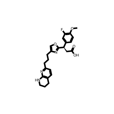 COc1ccc([C@@H](CC(=O)O)c2nc(CCCc3ccc4c(n3)NCCC4)co2)cc1F